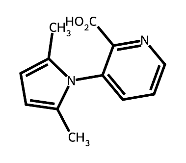 Cc1ccc(C)n1-c1cccnc1C(=O)O